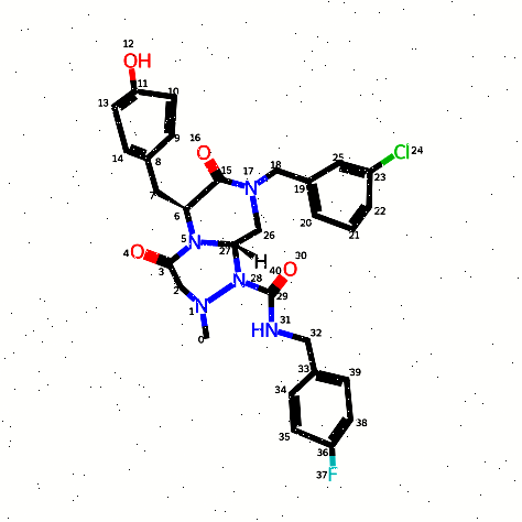 CN1CC(=O)N2[C@@H](Cc3ccc(O)cc3)C(=O)N(Cc3cccc(Cl)c3)C[C@@H]2N1C(=O)NCc1ccc(F)cc1